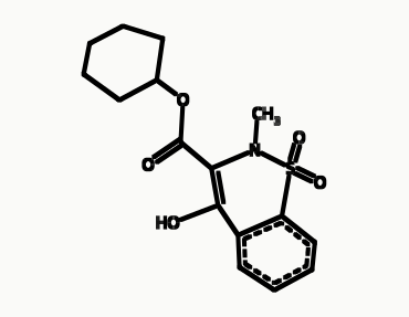 CN1C(C(=O)OC2CCCCC2)=C(O)c2ccccc2S1(=O)=O